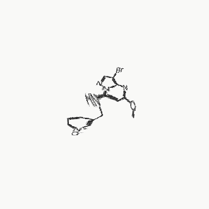 COc1cc(NCc2ccc[n+]([O-])c2)n2ncc(Br)c2n1